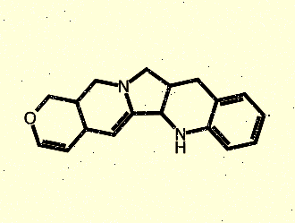 [c]1ccc2c(c1)CC1CN3CC4COC=CC4C=C3C1N2